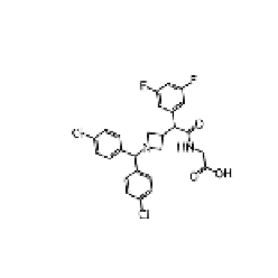 O=C(O)CNC(=O)C(c1cc(F)cc(F)c1)C1CN(C(c2ccc(Cl)cc2)c2ccc(Cl)cc2)C1